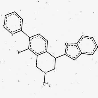 CN1Cc2c(ccc(-c3cccnn3)c2F)C(c2cc3ccccc3o2)C1